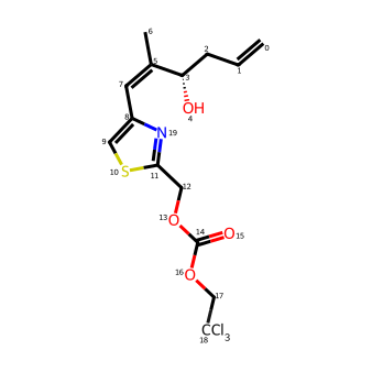 C=CC[C@H](O)C(C)=Cc1csc(COC(=O)OCC(Cl)(Cl)Cl)n1